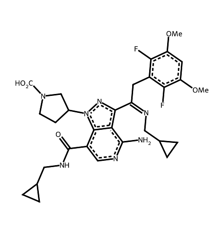 COc1cc(OC)c(F)c(CC(=NCC2CC2)c2nn(C3CCN(C(=O)O)C3)c3c(C(=O)NCC4CC4)cnc(N)c23)c1F